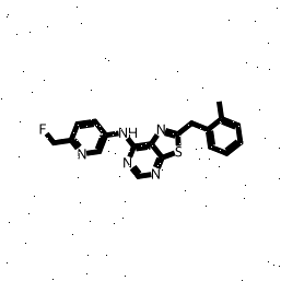 Cc1ccccc1Cc1nc2c(Nc3ccc(CF)nc3)ncnc2s1